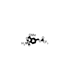 COC(=O)c1cc(COC(=O)C(F)(F)F)ccc1S(N)(=O)=O